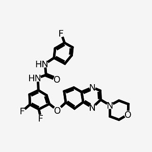 O=C(Nc1cccc(F)c1)Nc1cc(F)c(F)c(Oc2ccc3ncc(N4CCOCC4)nc3c2)c1